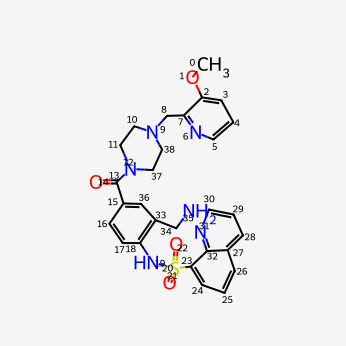 COc1cccnc1CN1CCN(C(=O)c2ccc(NS(=O)(=O)c3cccc4cccnc34)c(CN)c2)CC1